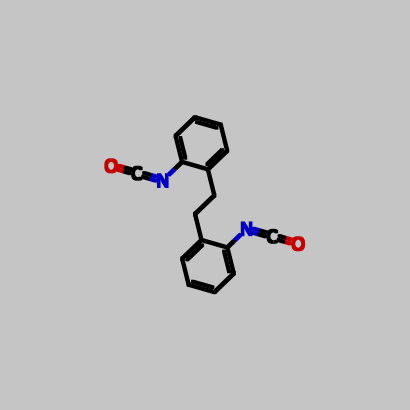 O=C=Nc1ccccc1CCc1ccccc1N=C=O